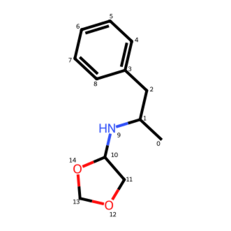 CC(Cc1ccccc1)NC1COCO1